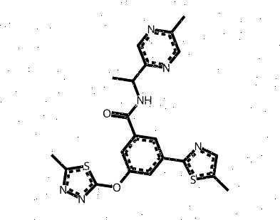 Cc1cnc(C(C)NC(=O)c2cc(Oc3nnc(C)s3)cc(-c3ncc(C)s3)c2)cn1